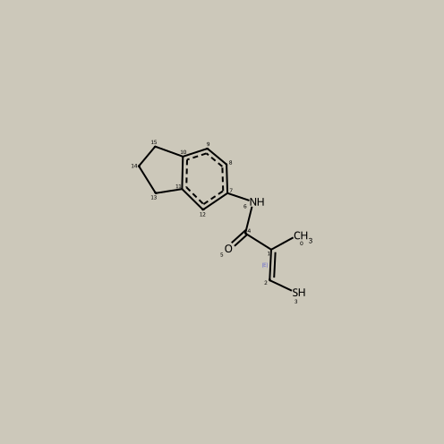 C/C(=C\S)C(=O)Nc1ccc2c(c1)CCC2